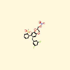 CS(=O)(=O)c1ccccc1-c1cc2c(cc1Cc1cc(F)cc(F)c1)OCC(CO[N+](=O)[O-])O2